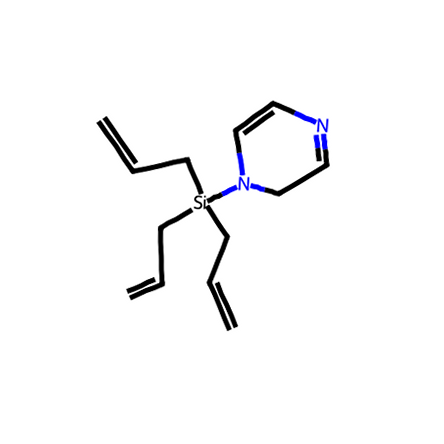 C=CC[Si](CC=C)(CC=C)N1C=CN=CC1